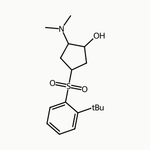 CN(C)C1CC(S(=O)(=O)c2ccccc2C(C)(C)C)CC1O